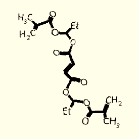 C=C(C)C(=O)OC(CC)OC(=O)/C=C/C(=O)OC(CC)OC(=O)C(=C)C